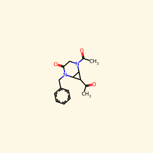 CC(=O)C1C2C1N(Cc1ccccc1)C(=O)CN2C(C)=O